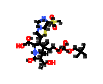 C[C@@H](O)[C@H]1C(=O)N2C(C(=O)O)=C(c3cn4cnc(S(C)(=O)=O)c4s3)[C@](C)(CCOC(=O)OCC(C)(C)C)[C@@H]12